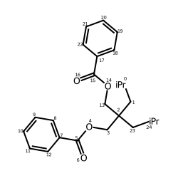 CC(C)CC(COC(=O)c1ccccc1)(COC(=O)c1ccccc1)CC(C)C